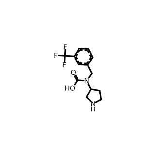 O=C(O)N(Cc1cccc(C(F)(F)F)c1)C1CCNC1